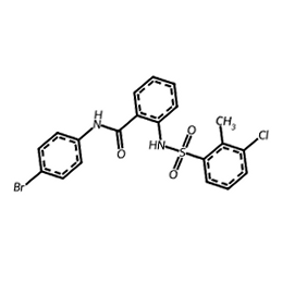 Cc1c(Cl)cccc1S(=O)(=O)Nc1ccccc1C(=O)Nc1ccc(Br)cc1